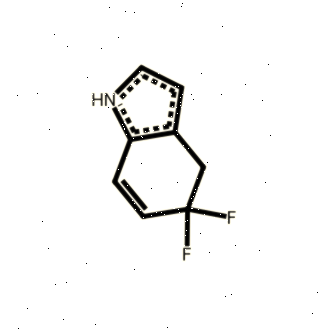 FC1(F)C=Cc2[nH]ccc2C1